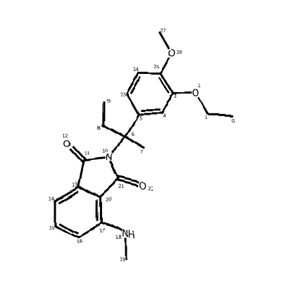 CCOc1cc(C(C)(CC)N2C(=O)c3cccc(NC)c3C2=O)ccc1OC